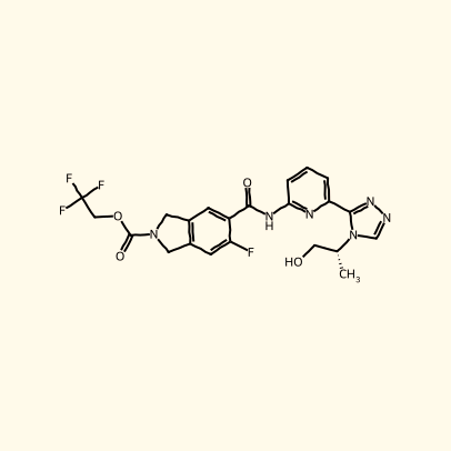 C[C@H](CO)n1cnnc1-c1cccc(NC(=O)c2cc3c(cc2F)CN(C(=O)OCC(F)(F)F)C3)n1